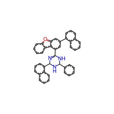 c1ccc(C2NC(c3cc(-c4cccc5ccccc45)cc4oc5ccccc5c34)=NC(c3cccc4ccccc34)N2)cc1